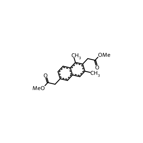 COC(=O)Cc1ccc2c(C)c(CC(=O)OC)c(C)cc2c1